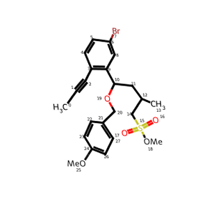 CC#Cc1ccc(Br)cc1C(CC(C)CS(=O)(=O)OC)OCc1ccc(OC)cc1